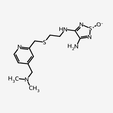 CN(C)Cc1ccnc(CSCCNc2n[s+]([O-])nc2N)c1